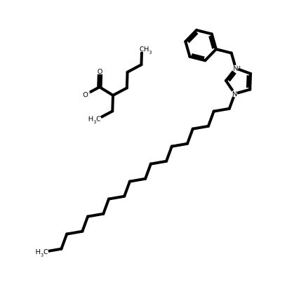 CCCCC(CC)C(=O)[O-].CCCCCCCCCCCCCCCCCCn1cc[n+](Cc2ccccc2)c1